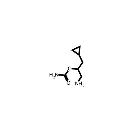 NCC(CC1CC1)OC(N)=O